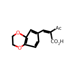 CC(=O)C(=Cc1ccc2c(c1)OCCO2)C(=O)O